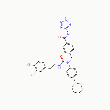 O=C(Nc1nn[nH]n1)c1ccc(CN(C(=O)NCCc2ccc(Cl)c(Cl)c2)c2ccc(C3CCCCC3)cc2)cc1